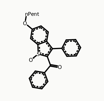 CCCCCOc1ccc2c(-c3ccccc3)c(C(=O)c3ccccc3)[s+]([O-])c2c1